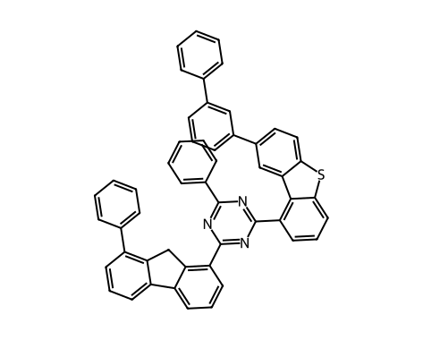 c1ccc(-c2cccc(-c3ccc4sc5cccc(-c6nc(-c7ccccc7)nc(-c7cccc8c7Cc7c(-c9ccccc9)cccc7-8)n6)c5c4c3)c2)cc1